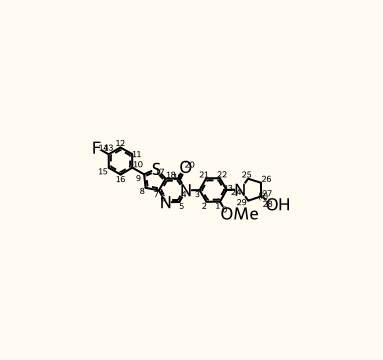 COc1cc(-n2cnc3cc(-c4ccc(F)cc4)sc3c2=O)ccc1N1CC[C@@H](O)C1